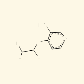 Nc1cnccc1OC(F)C(F)F